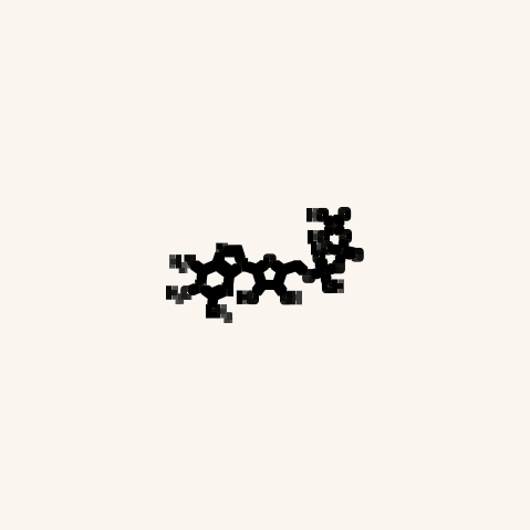 CN1C(N)=Nc2c(ncn2C2OC(COP(=O)(O)OP(=O)(O)OP(=O)(O)O)C(O)C2O)C1N